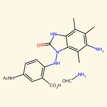 CC(=O)Nc1ccc(Nn2c(=O)[nH]c3c(C)c(C)c(N)c(C)c32)c(C(=O)O)c1.NC=O